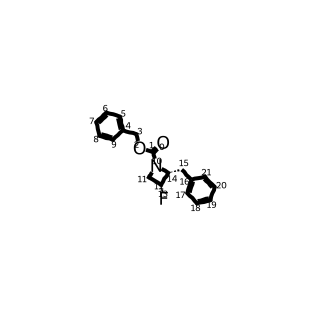 O=C(OCc1ccccc1)N1C[C@@H](F)[C@H]1Cc1ccccc1